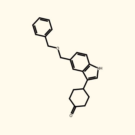 O=C1CCC(c2c[nH]c3ccc(COCc4ccccc4)cc23)CC1